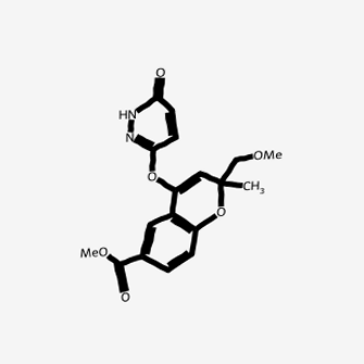 COCC1(C)C=C(Oc2ccc(=O)[nH]n2)c2cc(C(=O)OC)ccc2O1